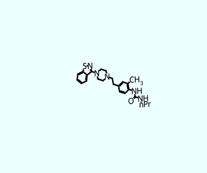 CCCNC(=O)Nc1ccc(CCN2CCN(c3nsc4ccccc34)CC2)cc1C